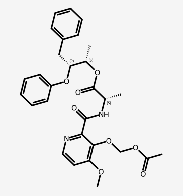 COc1ccnc(C(=O)N[C@@H](C)C(=O)O[C@@H](C)[C@@H](Cc2ccccc2)Oc2ccccc2)c1OCOC(C)=O